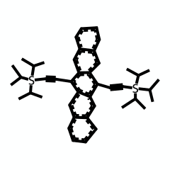 CC(C)S(C#Cc1c2cc3ccccc3cc2c(C#CS(C(C)C)(C(C)C)C(C)C)c2cc3ccccc3cc12)(C(C)C)C(C)C